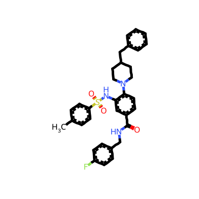 Cc1ccc(S(=O)(=O)Nc2cc(C(=O)NCc3ccc(F)cc3)ccc2N2CCC(Cc3ccccc3)CC2)cc1